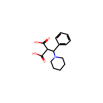 O=C(O)C(C(=O)O)C(c1ccccc1)N1CCCCC1